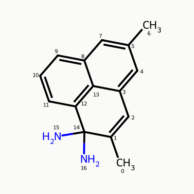 CC1=Cc2cc(C)cc3cccc(c23)C1(N)N